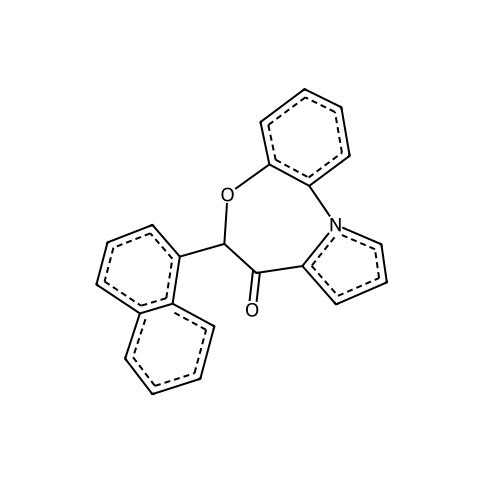 O=C1c2cccn2-c2ccccc2OC1c1cccc2ccccc12